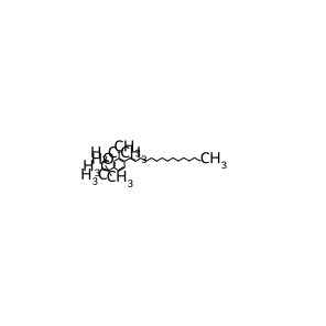 CCCCCCCCCCCCCC=Cc1ccc(C(C)(C)C)c(O)c1C(C)(C)C